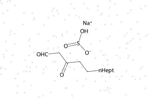 CCCCCCCCCC(=O)CC=O.O=S([O-])O.[Na+]